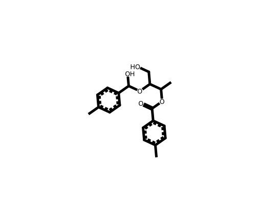 Cc1ccc(C(=O)OC(C)C(CO)OC(O)c2ccc(C)cc2)cc1